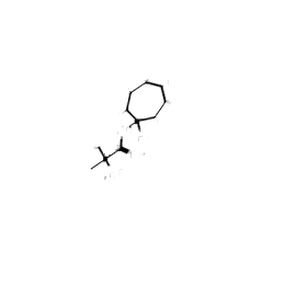 CCC1(OC(=O)C(C)(C)CC)CCCCCC1